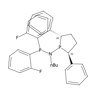 CCCCN(P(c1ccccc1F)c1ccccc1F)P1[C@H](c2ccccc2)CC[C@H]1c1ccccc1